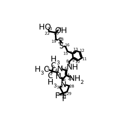 CC(C)(C)c1nc(NCc2ccccc2CCSSCC(O)CO)c(N)c(N2CCC(F)(F)C2)n1